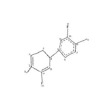 CC1=CCC(c2ccc(C)c(F)c2)C=C1F